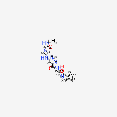 CNC(=O)CN1CC(Nc2cc(C(=O)NCC(O)CN3CCc4ccccc4C3)ncn2)C1